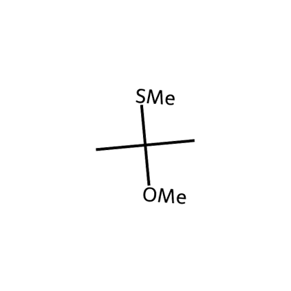 COC(C)(C)SC